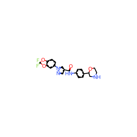 O=C(Nc1ccc(C2CNCCO2)cc1)c1cnn(-c2ccc3c(c2)OC(F)(F)O3)c1